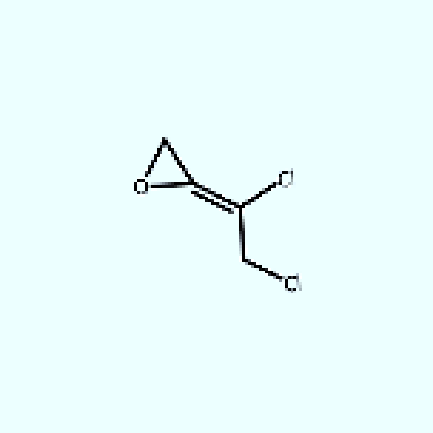 ClCC(Cl)=C1CO1